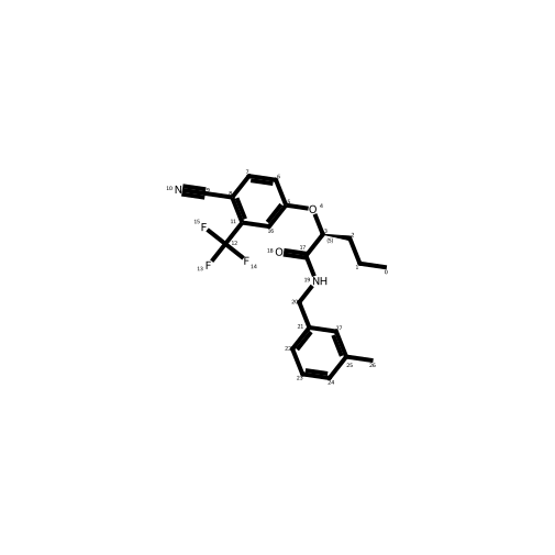 CCC[C@H](Oc1ccc(C#N)c(C(F)(F)F)c1)C(=O)NCc1cccc(C)c1